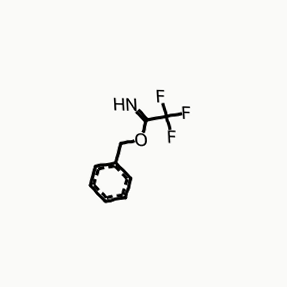 N=C(OCc1ccccc1)C(F)(F)F